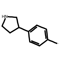 [CH2]c1ccc(C2CCNC2)cc1